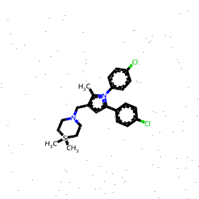 Cc1c(CN2CC[Si](C)(C)CC2)cc(-c2ccc(Cl)cc2)n1-c1ccc(Cl)cc1